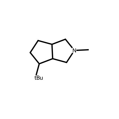 CN1CC2CCC(C(C)(C)C)C2C1